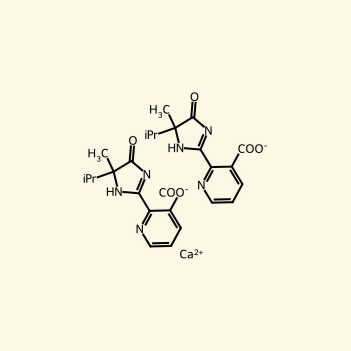 CC(C)C1(C)NC(c2ncccc2C(=O)[O-])=NC1=O.CC(C)C1(C)NC(c2ncccc2C(=O)[O-])=NC1=O.[Ca+2]